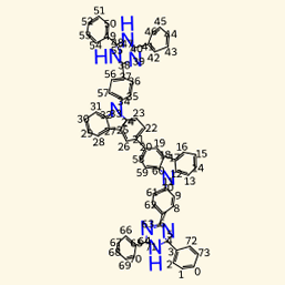 c1ccc(C2=NC(c3ccc(-n4c5ccccc5c5cc(-c6ccc7c(c6)c6ccccc6n7-c6ccc(C7N=C(c8ccccc8)NC(c8ccccc8)N7)cc6)ccc54)cc3)=NC(c3ccccc3)N2)cc1